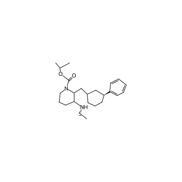 CSNC1CCCN(C(=O)OC(C)C)C1CC1CCC[C@H](c2ccccc2)C1